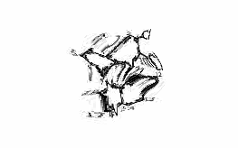 Clc1cc2ccccc2nc1Cl.c1ccc2nccnc2c1